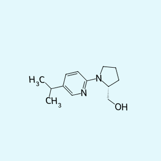 CC(C)c1ccc(N2CCC[C@@H]2CO)nc1